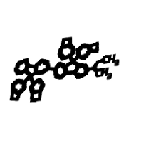 CCC(C)c1ccc2c(c1)C(c1ccc3c(c1)CC3)(c1ccc3c(c1)CC3)c1cc(-c3ccc4c(c3)C(c3ccc5c(c3)CC5)(c3ccc5c(c3)CC5)c3ccccc3-4)ccc1-2